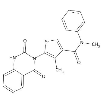 Cc1c(C(=O)N(C)c2ccccc2)csc1-n1c(=O)[nH]c2ccccc2c1=O